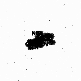 N#Cc1cccc(-c2ccc3c4c(C5c6cccc(-n7c8c(-c9cccc(C#N)n9)cccc8c8c(C9c%10cccc(-n%11c%12ccccc%12c%12cccc(-c%13cccc(C#N)n%13)c%12%11)c%10C(=O)N9c9ccc(-c%10ccccc%10)cc9)ccc(-c9cccc(C#N)n9)c87)c6C(=O)N5c5ccc(-c6ccccc6)cc5)cccc4n(-c4cccc5c4C(=O)N(c4ccc(-c6ccccc6)cc4-c4ccccc4)C5=O)c3c2)n1